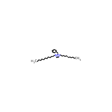 CCCCCCCCCCCCC[n+]1ccn(CCCCCCCCCCC)c1Cc1ccccc1